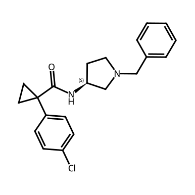 O=C(N[C@H]1CCN(Cc2ccccc2)C1)C1(c2ccc(Cl)cc2)CC1